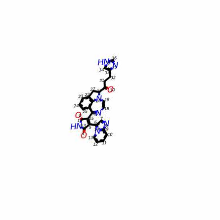 O=C1NC(=O)C(c2cnc3ccccn23)=C1C1=NC=CN2c3c(cccc31)CC2C(=O)CCc1c[nH]cn1